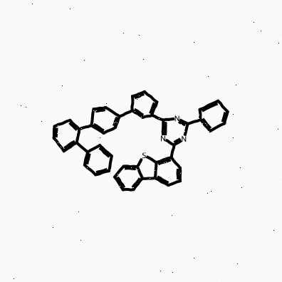 c1ccc(-c2nc(-c3cccc(-c4ccc(-c5ccccc5-c5ccccc5)cc4)c3)nc(-c3cccc4c3sc3ccccc34)n2)cc1